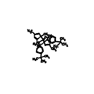 CC1=C[C](C)([Zr]([O]c2ccc(C(C)(C)C)cc2)([O]c2ccc(C(C)(C)C)cc2)[C]2(C)C=C(C)C=C2C)C(C)=C1